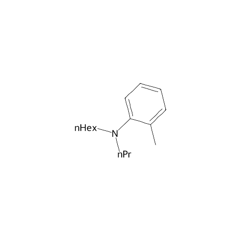 CCCCCCN(CCC)c1ccccc1C